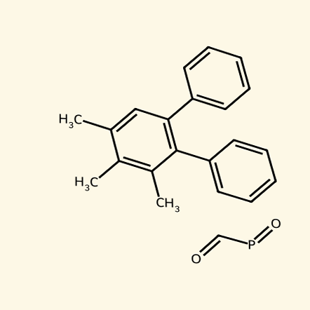 Cc1cc(-c2ccccc2)c(-c2ccccc2)c(C)c1C.O=CP=O